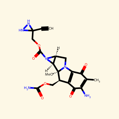 C#CC1(COC(=O)N2[C@H]3[C@@H]2CN2C4=C(C(=O)C(N)=C(C)C4=O)[C@@H](COC(N)=O)[C@@]32OC)NN1